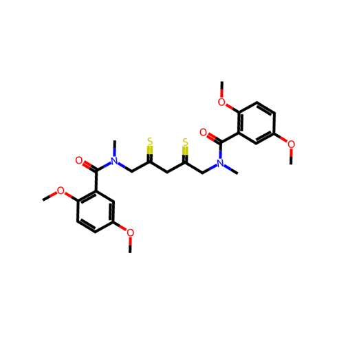 COc1ccc(OC)c(C(=O)N(C)CC(=S)CC(=S)CN(C)C(=O)c2cc(OC)ccc2OC)c1